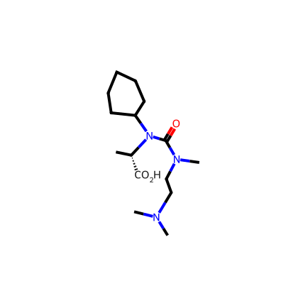 C[C@@H](C(=O)O)N(C(=O)N(C)CCN(C)C)C1CCCCC1